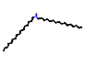 CCCCCCCCCCCCCCCC[N+](C)CCCCCCCCCCCCCCCC